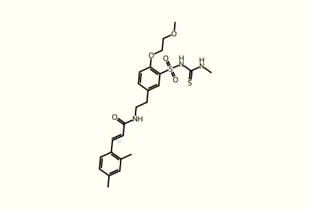 CNC(=S)NS(=O)(=O)c1cc(CCNC(=O)/C=C/c2ccc(C)cc2C)ccc1OCCOC